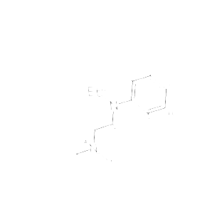 CCN(CCN(C)C)c1c[c]ccc1